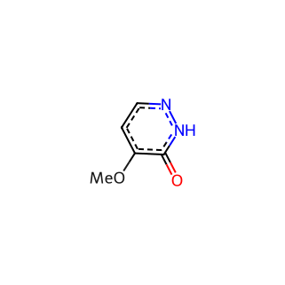 COc1ccn[nH]c1=O